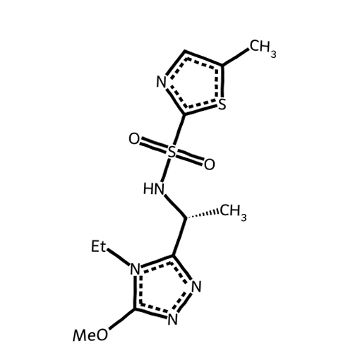 CCn1c(OC)nnc1[C@@H](C)NS(=O)(=O)c1ncc(C)s1